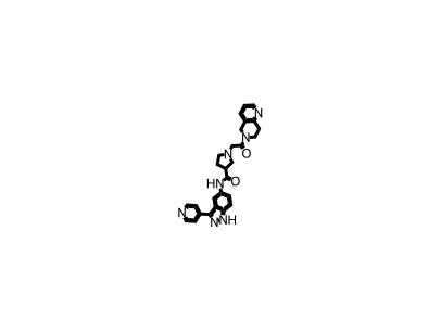 O=C(Nc1ccc2[nH]nc(-c3ccncc3)c2c1)C1CCN(CC(=O)N2CCc3ncccc3C2)C1